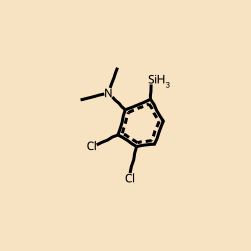 CN(C)c1c([SiH3])ccc(Cl)c1Cl